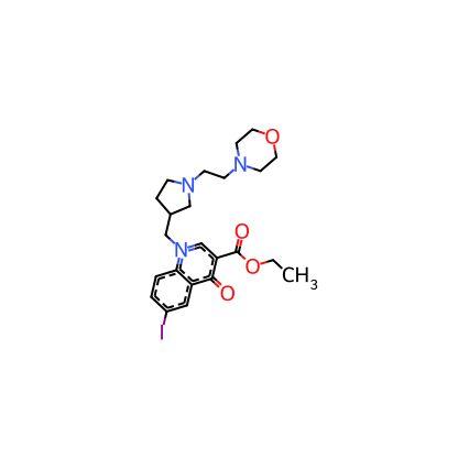 CCOC(=O)c1cn(CC2CCN(CCN3CCOCC3)C2)c2ccc(I)cc2c1=O